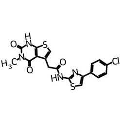 Cn1c(=O)[nH]c2scc(CC(=O)Nc3nc(-c4ccc(Cl)cc4)cs3)c2c1=O